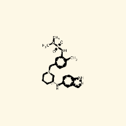 Cc1ccc(CN2CCC[C@@H](Nc3ccc4[nH]ncc4c3)C2)cc1NS(=O)(=O)N(C)C